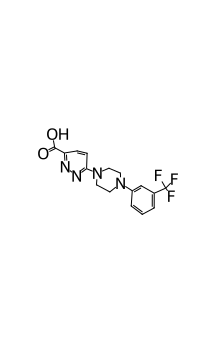 O=C(O)c1ccc(N2CCN(c3cccc(C(F)(F)F)c3)CC2)nn1